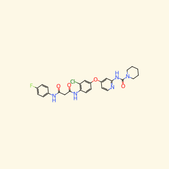 O=C(CC(=O)Nc1ccc(Oc2ccnc(NC(=O)N3CCCCC3)c2)cc1Cl)Nc1ccc(F)cc1